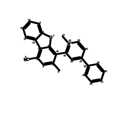 Cc1cc(C#N)c2c(oc3ccccc32)c1-c1cc(-c2ccccc2)cc[n+]1C